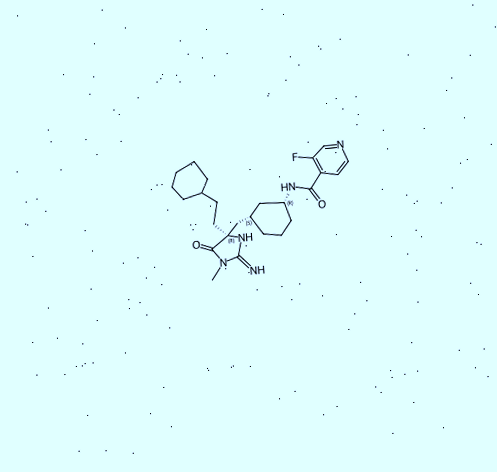 CN1C(=N)N[C@](CCC2CCCCC2)(C[C@H]2CCC[C@@H](NC(=O)c3ccncc3F)C2)C1=O